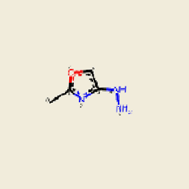 Cc1nc(NN)co1